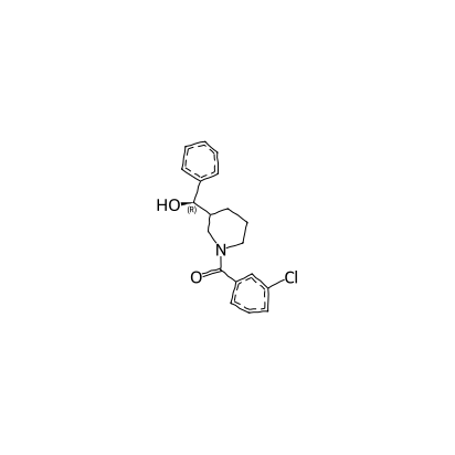 O=C(c1cccc(Cl)c1)N1CCCC([C@@H](O)c2ccccc2)C1